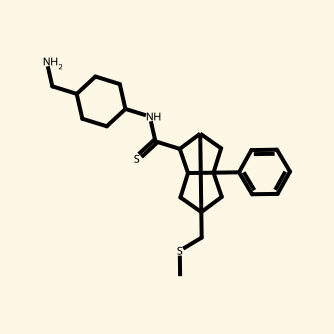 CSCC12CC3C(C(=S)NC4CCC(CN)CC4)C1CC3(c1ccccc1)C2